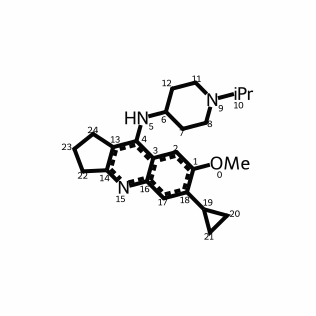 COc1cc2c(NC3CCN(C(C)C)CC3)c3c(nc2cc1C1CC1)CCC3